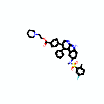 Cc1ccc(F)cc1S(=O)(=O)N(C)c1ccc2[nH]c3ncc(-c4ccc(C(=O)OCCN5CCCCC5)cc4)c(-c4ccccc4)c3c2c1